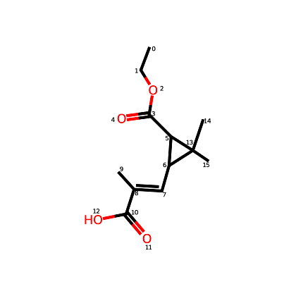 CCOC(=O)C1C(/C=C(\C)C(=O)O)C1(C)C